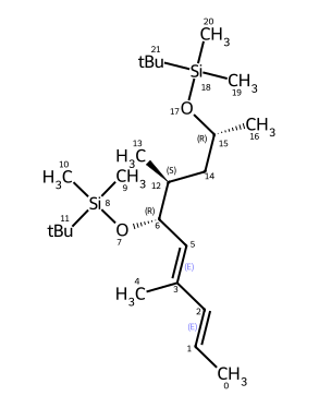 C/C=C/C(C)=C/[C@H](O[Si](C)(C)C(C)(C)C)[C@@H](C)C[C@@H](C)O[Si](C)(C)C(C)(C)C